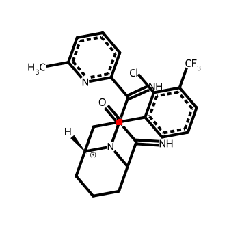 Cc1cccc(C(=N)N2C[C@H]3CCCC(C2=N)N3C(=O)c2cccc(C(F)(F)F)c2Cl)n1